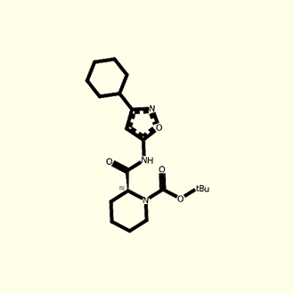 CC(C)(C)OC(=O)N1CCCC[C@H]1C(=O)Nc1cc(C2CCCCC2)no1